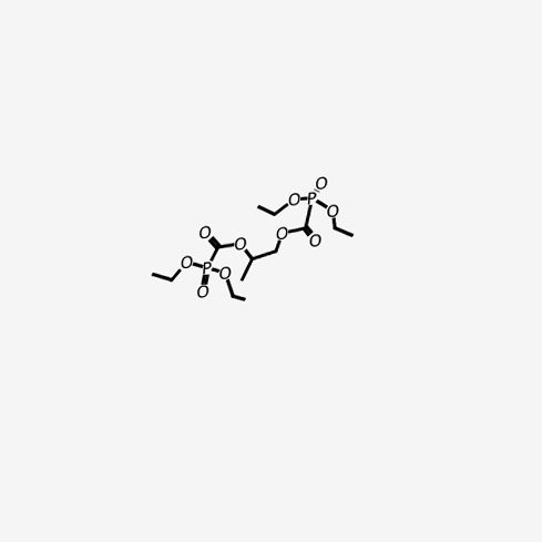 CCOP(=O)(OCC)C(=O)OCC(C)OC(=O)P(=O)(OCC)OCC